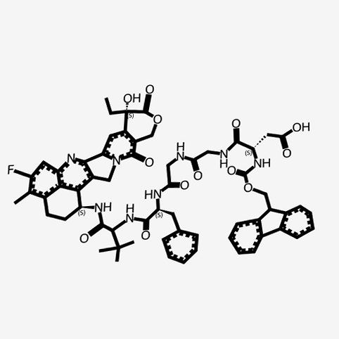 CC[C@@]1(O)C(=O)OCc2c1cc1n(c2=O)Cc2c-1nc1cc(F)c(C)c3c1c2[C@@H](NC(=O)C(NC(=O)[C@H](Cc1ccccc1)NC(=O)CNC(=O)CNC(=O)[C@H](CC(=O)O)NC(=O)OCC1c2ccccc2-c2ccccc21)C(C)(C)C)CC3